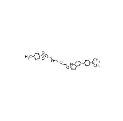 Cc1ccc(S(=O)(=O)OCCOCCOCCOc2ccc3cc(-c4ccc(N(C)C)cc4)ccc3n2)cc1